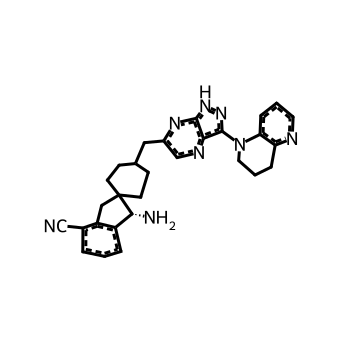 N#Cc1cccc2c1CC1(CCC(Cc3cnc4c(N5CCCc6ncccc65)n[nH]c4n3)CC1)[C@@H]2N